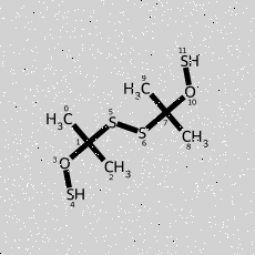 CC(C)(OS)SSC(C)(C)OS